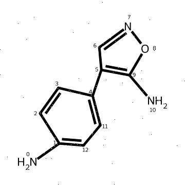 Nc1ccc(-c2cnoc2N)cc1